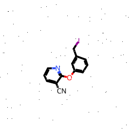 N#Cc1cccnc1Oc1cccc(CI)c1